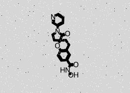 O=C(NO)c1ccc2c(c1)CCC1(CCN(c3cccnc3)C1=O)O2